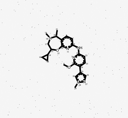 COc1nc(Nc2ccc3c(n2)OC(C2CC2)CN(C)C3C)ccc1-c1cnn(C)c1